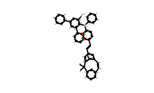 Cc1c2cc(/C=C/c3ccc(N(c4ccccc4)c4c(F)cc(-c5ccccc5)cc4-c4ccccc4)cc3)cc1C(C)(C)c1cccc(c1)/C=C\2